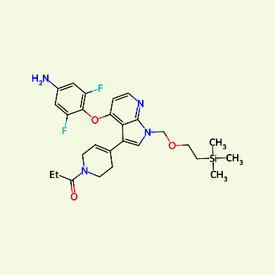 CCC(=O)N1CC=C(c2cn(COCC[Si](C)(C)C)c3nccc(Oc4c(F)cc(N)cc4F)c23)CC1